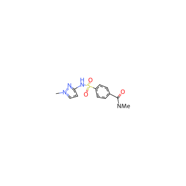 CNC(=O)c1ccc(S(=O)(=O)Nc2ccn(C)n2)cc1